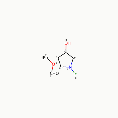 CC(C)(C)OC=O.OC1CCN(F)C1